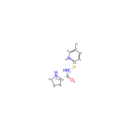 Cc1ccc(SNC(=O)[C@@H]2CCCN2)nc1